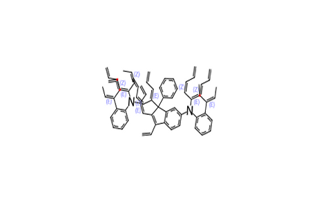 C=C/C=C\C(=C/C)c1ccccc1N(/C(C=C)=C/C1=C(C=C)c2ccc(N(C(/C=C\C=C)=C/C)c3ccccc3C(/C=C\C=C)=C/C)cc2C1(C(/C=C\C=C)=C/C=C)c1ccccc1)C(/C=C\C)=C/C=C